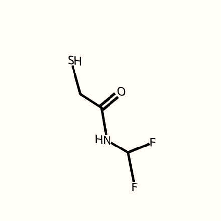 O=C(CS)NC(F)F